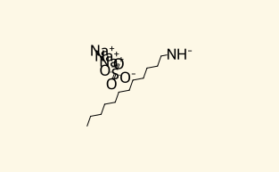 CCCCCCCCCCCC[NH-].O=S(=O)([O-])[O-].[Na+].[Na+].[Na+]